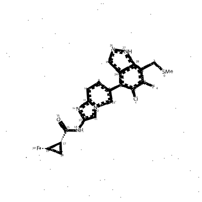 CSCc1c(F)c(Cl)c(-c2ccc3nc(NC(=O)[C@@H]4C[C@@H]4F)cn3c2)c2cn[nH]c12